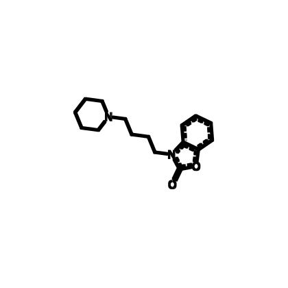 O=c1oc2ccccc2n1CCCCN1CCCCC1